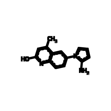 Cc1cc(O)nc2ccc(-n3cccc3N)cc12